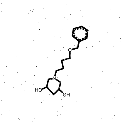 OC1CC(O)CN(CCCCOCc2ccccc2)C1